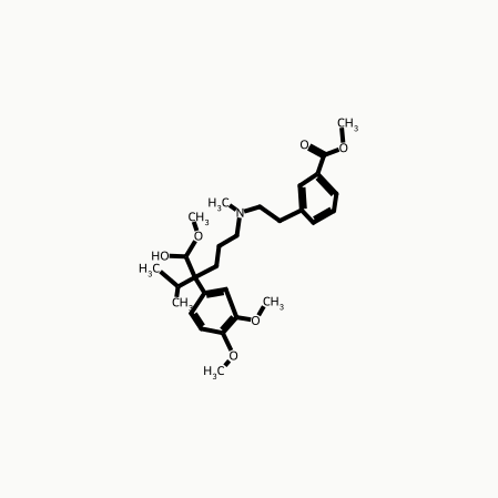 COC(=O)c1cccc(CCN(C)CCCC(c2ccc(OC)c(OC)c2)(C(C)C)C(O)OC)c1